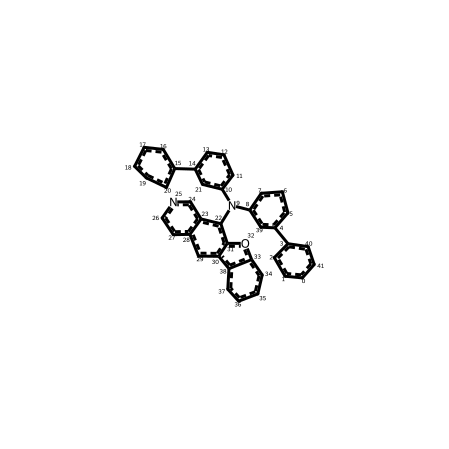 c1ccc(-c2cccc(N(c3cccc(-c4ccccc4)c3)c3c4cnccc4cc4c3oc3ccccc34)c2)cc1